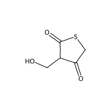 O=C1CSC(=O)C1CO